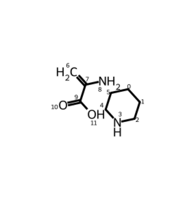 C1CCNCC1.C=C(N)C(=O)O